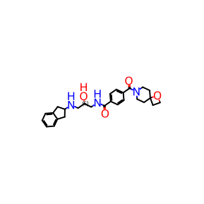 O=C(NC[C@@H](O)CNC1Cc2ccccc2C1)c1ccc(C(=O)N2CCC3(CCO3)CC2)cc1